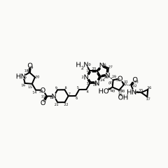 Nc1nc(CCCC2CCN(C(=O)OCC3CNC(=O)C3)CC2)nc2c1ncn2[C@@H]1O[C@H](C(=O)NC2CC2)[C@H](O)C1O